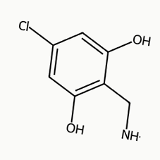 [NH]Cc1c(O)cc(Cl)cc1O